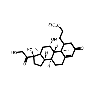 CCOC(=O)CCC1CC(=O)C=C2CC[C@@H]3[C@H]([C@@H](O)C[C@@]4(C)[C@H]3CC[C@]4(O)C(=O)CO)[C@]21C